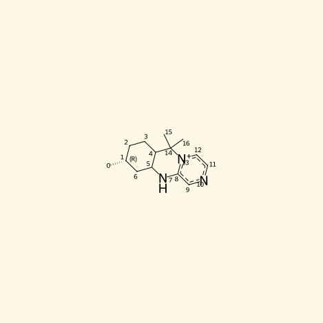 C[C@@H]1CCC2C(C1)Nc1cncc[n+]1C2(C)C